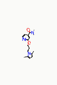 Cc1ccc(C)n1CCCOc1cc(C(=O)N(C)C)ccn1